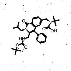 CC(C)Cn1c(CNC(=O)OC(C)(C)C)c(-c2ccccc2)c2cc(CN(C(=O)O)C(C)(C)C)ccc2c1=O